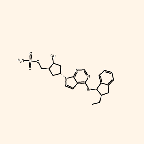 CC[C@@H]1Cc2ccccc2[C@@H]1Nc1ncnc2c1ccn2[C@@H]1C[C@@H](COS(N)(=O)=O)[C@@H](O)C1